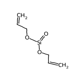 C=CCO[Si](=O)OCC=C